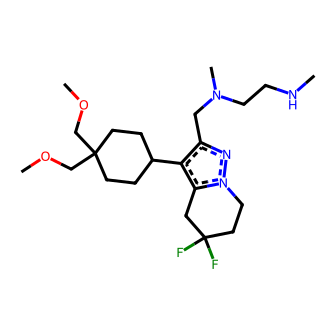 CNCCN(C)Cc1nn2c(c1C1CCC(COC)(COC)CC1)CC(F)(F)CC2